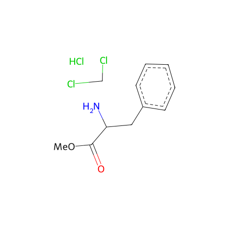 COC(=O)C(N)Cc1ccccc1.Cl.ClCCl